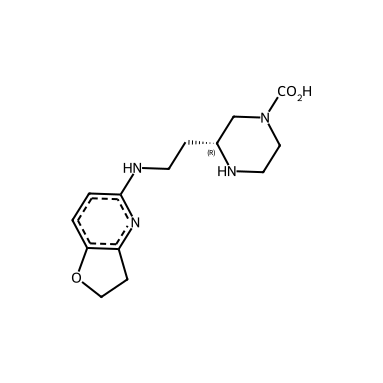 O=C(O)N1CCN[C@H](CCNc2ccc3c(n2)CCO3)C1